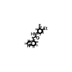 CCc1ccc(NC(=O)Cc2cccc3nccn23)cc1F